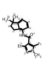 CCc1nn(C)c(F)c1C(=O)Nc1cccc2c1CCC2(C)C